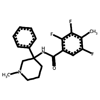 Cc1c(F)cc(C(=O)NC2(c3ccccc3)CCCN(C)C2)c(F)c1F